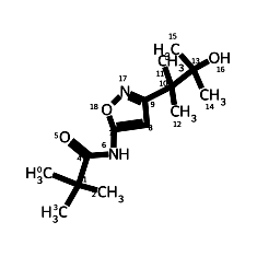 CC(C)(C)C(=O)Nc1cc(C(C)(C)C(C)(C)O)no1